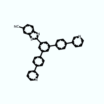 N#Cc1ccc2nc(-c3cc(-c4ccc(-c5cccnc5)cc4)cc(-c4ccc(-c5cccnc5)cc4)c3)sc2c1